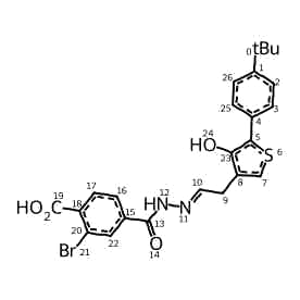 CC(C)(C)c1ccc(-c2scc(CC=NNC(=O)c3ccc(C(=O)O)c(Br)c3)c2O)cc1